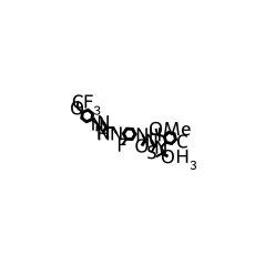 COCc1ccc(C)cc1N1C(=O)CSC1=NC(=O)Nc1ccc(NCc2ncn(-c3ccc(OC(F)(F)F)cc3)n2)c(F)c1